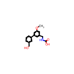 COc1cc(CNC(=O)O)cc(-c2cccc(CO)c2)c1